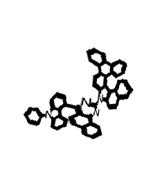 c1ccc(-n2c3ccccc3c3c(-c4nc(-n5c6ccc7ccccc7c6c6c7c8ccccc8c8ccccc8c7ccc65)nc5c4ccc4ccccc45)cccc32)cc1